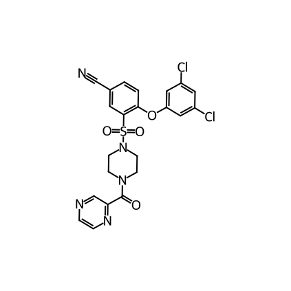 N#Cc1ccc(Oc2cc(Cl)cc(Cl)c2)c(S(=O)(=O)N2CCN(C(=O)c3cnccn3)CC2)c1